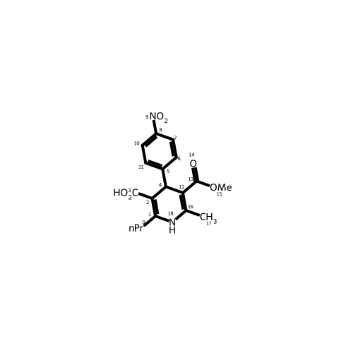 CCCC1=C(C(=O)O)C(c2ccc([N+](=O)[O-])cc2)C(C(=O)OC)=C(C)N1